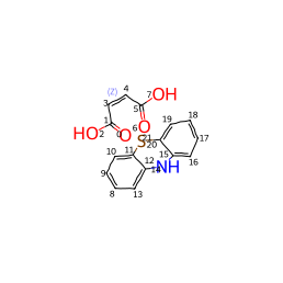 O=C(O)/C=C\C(=O)O.c1ccc2c(c1)Nc1ccccc1S2